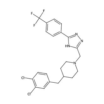 FC(F)(F)c1ccc(-c2nnc(CN3CCC(Cc4ccc(Cl)c(Cl)c4)CC3)[nH]2)cc1